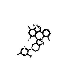 Cc1cnc(N2CCc3nn(-c4c(C)cccc4C)c(-c4c(F)cc(C)c5[nH]ccc45)c3C2)c(F)c1